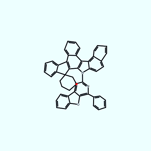 c1ccc(-c2nc(-n3c4ccc5ccccc5c4c4c5ccccc5c5c(c43)C3(CCCCC3)c3ccccc3-5)nc3c2oc2ccccc23)cc1